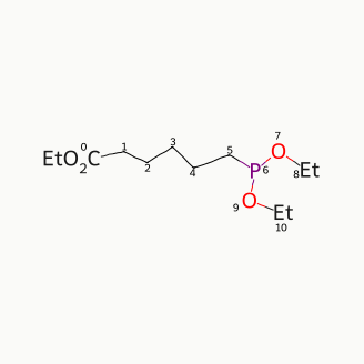 CCOC(=O)CCCCCP(OCC)OCC